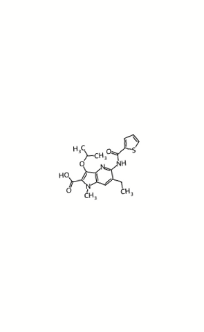 CCc1cc2c(nc1NC(=O)c1cccs1)c(OC(C)C)c(C(=O)O)n2C